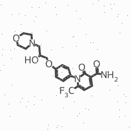 NC(=O)c1ccc(C(F)(F)F)n(-c2ccc(OCC(O)CN3CCOCC3)cc2)c1=O